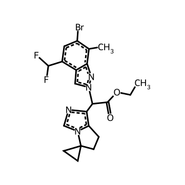 CCOC(=O)C(c1ncn2c1CCC21CC1)n1cc2c(C(F)F)cc(Br)c(C)c2n1